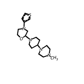 CN1CCN(C2CCN(C3CN(c4ccsc4)CCO3)CC2)CC1